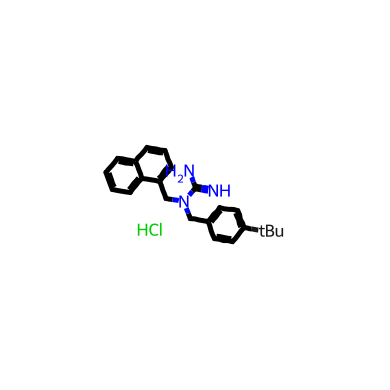 CC(C)(C)c1ccc(CN(Cc2cccc3ccccc23)C(=N)N)cc1.Cl